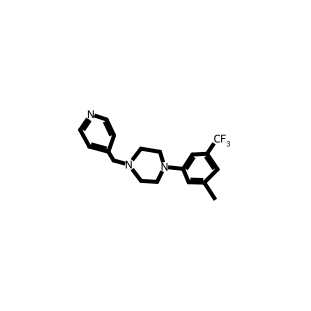 Cc1cc(N2CCN(Cc3ccncc3)CC2)cc(C(F)(F)F)c1